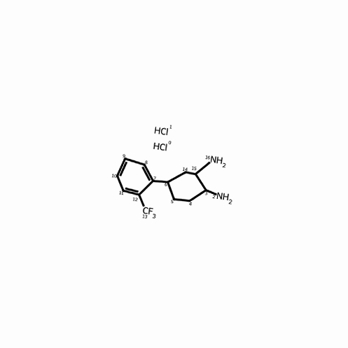 Cl.Cl.NC1CCC(c2ccccc2C(F)(F)F)CC1N